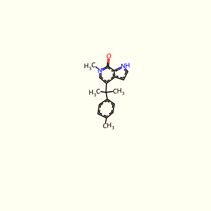 Cc1ccc(C(C)(C)c2cn(C)c(=O)c3[nH]ccc23)cc1